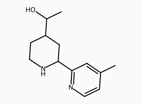 Cc1ccnc(C2CC(C(C)O)CCN2)c1